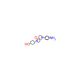 Nc1ccc(N2CCCC3(CCN(C4CCC(O)CC4)C3=O)C2)cc1